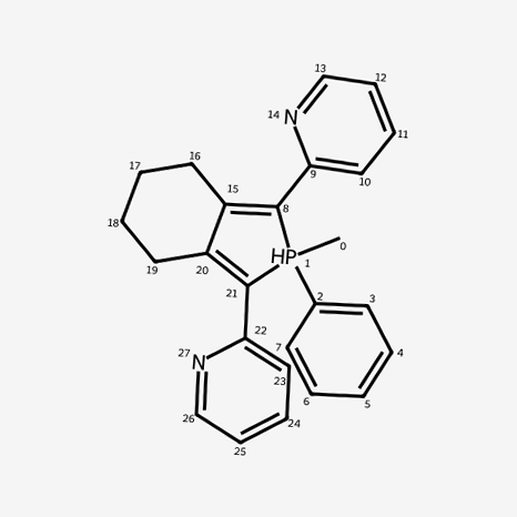 C[PH]1(c2ccccc2)C(c2ccccn2)=C2CCCCC2=C1c1ccccn1